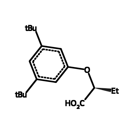 CC[C@@H](Oc1cc(C(C)(C)C)cc(C(C)(C)C)c1)C(=O)O